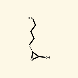 NCCCC[C@H]1OC1O